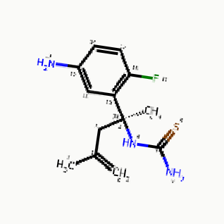 C=C(C)C[C@](C)(NC(N)=S)c1cc(N)ccc1F